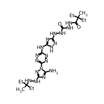 CCC(C)(CC)NNc1nc(N)n(-c2nnc(Nc3nc(NNC(=O)NNC(=O)C(C)(CC)CC)n[nH]3)nn2)n1